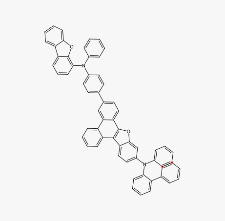 c1ccc(-c2ccccc2N(c2ccccc2)c2ccc3c(c2)oc2c4ccc(-c5ccc(N(c6ccccc6)c6cccc7c6oc6ccccc67)cc5)cc4c4ccccc4c32)cc1